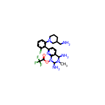 CN1C(N)c2ccc(-c3c(F)cccc3N3CCCC(CN)C3)nc2N(OC(=O)C(F)(F)F)C1N